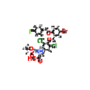 CC(C)(C)OC(=O)NC(Cc1cc(Cl)c(OCc2cc(Br)ccc2OCc2ccc(F)cc2)c(Cl)c1)C(=O)O